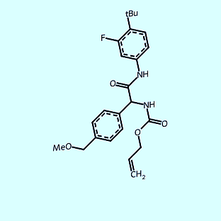 C=CCOC(=O)NC(C(=O)Nc1ccc(C(C)(C)C)c(F)c1)c1ccc(COC)cc1